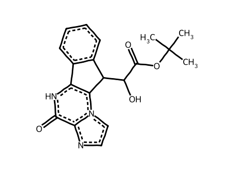 CC(C)(C)OC(=O)C(O)C1c2ccccc2-c2[nH]c(=O)c3nccn3c21